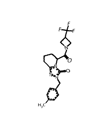 Cc1ccc(Cn2nc3n(c2=O)C(C(=O)N2CC(C(F)(F)F)C2)CCC3)cc1